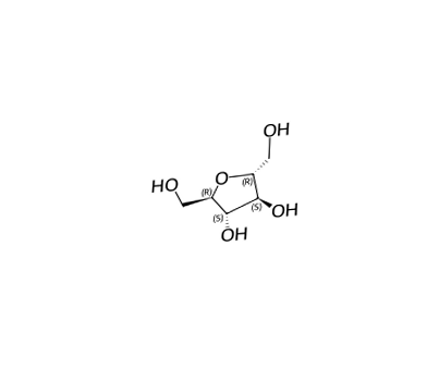 OC[C@H]1O[C@H](CO)[C@@H](O)[C@@H]1O